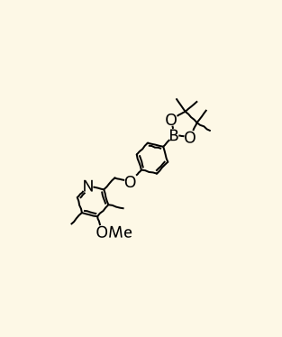 COc1c(C)cnc(COc2ccc(B3OC(C)(C)C(C)(C)O3)cc2)c1C